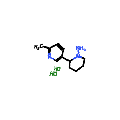 Cc1ccc(C2CCCCN2N)cn1.Cl.Cl